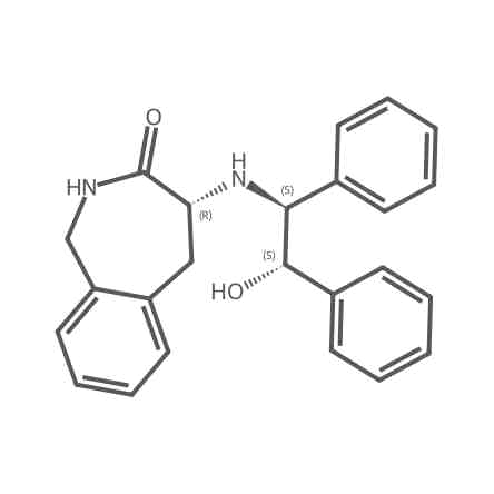 O=C1NCc2ccccc2C[C@H]1N[C@@H](c1ccccc1)[C@@H](O)c1ccccc1